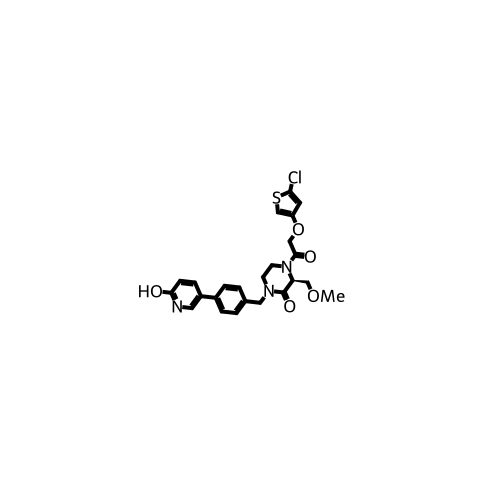 COC[C@H]1C(=O)N(Cc2ccc(-c3ccc(O)nc3)cc2)CCN1C(=O)COc1csc(Cl)c1